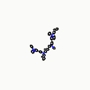 CC1(C)c2ccccc2-c2ccc(N(C3=CC=C4c5ccc(-c6ccc7c8cc(-c9ccc(N(c%10ccccc%10)c%10ccc%11c(c%10)C(C)(C)c%10ccccc%10-%11)c%10ccc#cc9%10)ccc8n(-c8ccccc8)c7c6)cc5C(C)(C)C4C3)c3ccc(-c4ccc5c(c4)c4ccccc4n5-c4ccccc4)cc3)cc21